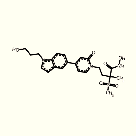 CC(CCn1ccc(-c2ccc3c(ccn3CCCO)c2)cc1=O)(C(=O)NO)S(C)(=O)=O